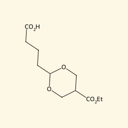 CCOC(=O)C1COC(CCCC(=O)O)OC1